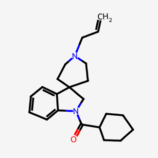 C=CCN1CCC2(CC1)CN(C(=O)C1CCCCC1)c1ccccc12